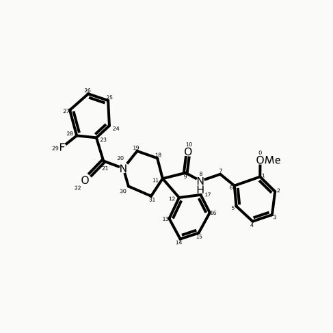 COc1ccccc1CNC(=O)C1(c2ccccc2)CCN(C(=O)c2ccccc2F)CC1